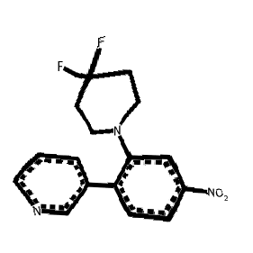 O=[N+]([O-])c1ccc(-c2cccnc2)c(N2CCC(F)(F)CC2)c1